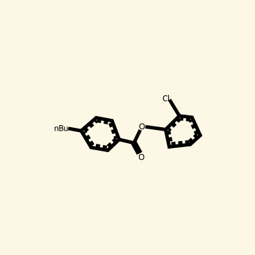 CCCCc1ccc(C(=O)Oc2ccccc2Cl)cc1